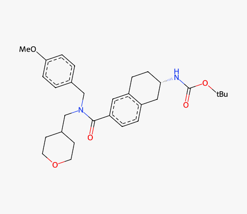 COc1ccc(CN(CC2CCOCC2)C(=O)c2ccc3c(c2)CC[C@H](NC(=O)OC(C)(C)C)C3)cc1